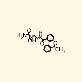 CC(Oc1cccc(C(=O)NCCN(O)C(N)=O)c1)c1ccccc1